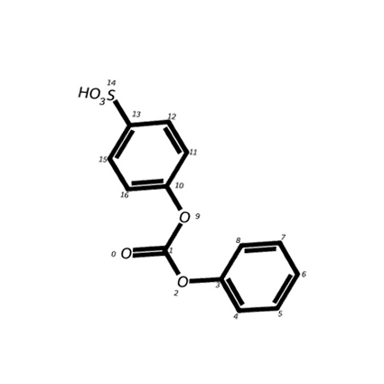 O=C(Oc1ccccc1)Oc1ccc(S(=O)(=O)O)cc1